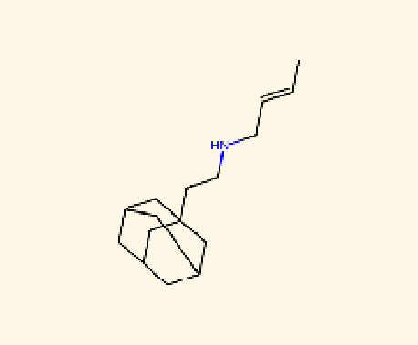 C/C=C/CNCCC12CC3CC(CC(C3)C1)C2